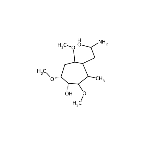 COC1C[C@@H](OC)[C@@H](O)C(OC)C(C)C1CC(N)O